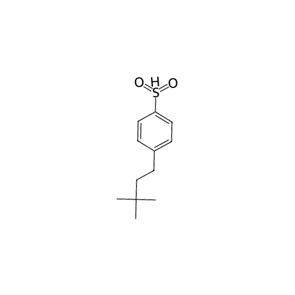 CC(C)(C)CCc1ccc([SH](=O)=O)cc1